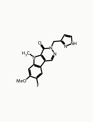 COc1cc2c(cc1F)c1cnn(Cc3cc[nH]n3)c(=O)c1n2C